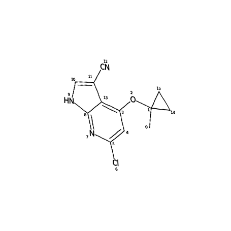 CC1(Oc2cc(Cl)nc3[nH]cc(C#N)c23)CC1